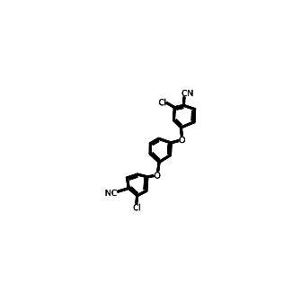 N#Cc1ccc(Oc2cccc(Oc3ccc(C#N)c(Cl)c3)c2)cc1Cl